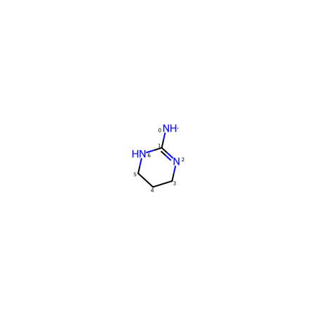 [NH]C1=NCCCN1